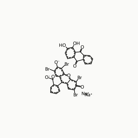 O=C([O-])c1ccccc1-c1c2cc(Br)c(=O)c(Br)c-2oc2c(Br)c([O-])c(Br)cc12.O=C1c2ccccc2C(=O)c2c1ccc(O)c2O.[Na+].[Na+]